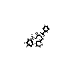 CC(C)(c1ccccc1)N(Cc1ccccn1)C(=O)C[S+]([O-])c1ccc(F)cc1